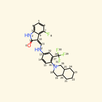 O=C1Nc2cccc(F)c2C1=CNc1ccc(N2CCC3CCCCC3C2)c(C(F)(F)F)c1